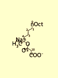 CCCCCCCCCCCCC(C)OC(=O)CC(=O)[O-].[Na+]